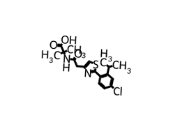 CC(C)c1cc(Cl)ccc1-c1nc(CC(=O)NC(C)(C)C(=O)O)cs1